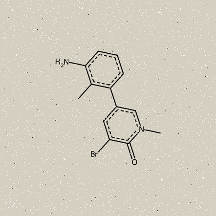 Cc1c(N)cccc1-c1cc(Br)c(=O)n(C)c1